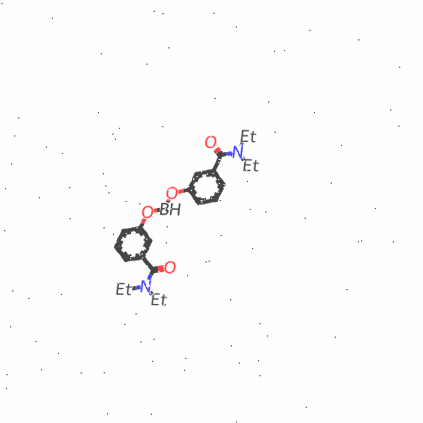 CCN(CC)C(=O)c1cccc(OBOc2cccc(C(=O)N(CC)CC)c2)c1